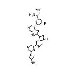 CN(C)CC(N)c1cc(F)cc(-c2cncc3[nH]c(-c4n[nH]c5cnc(-c6cncc(N7CC(N)C7)n6)cc45)nc23)c1